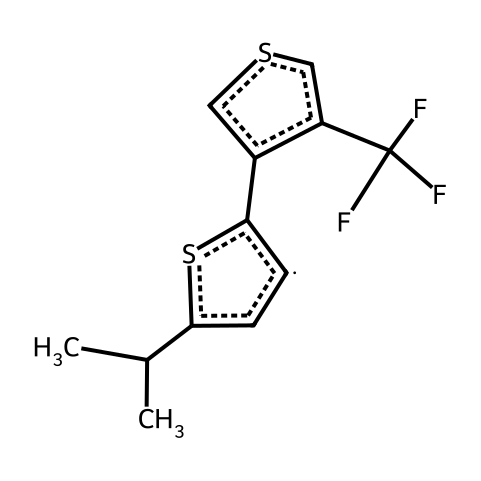 CC(C)c1c[c]c(-c2cscc2C(F)(F)F)s1